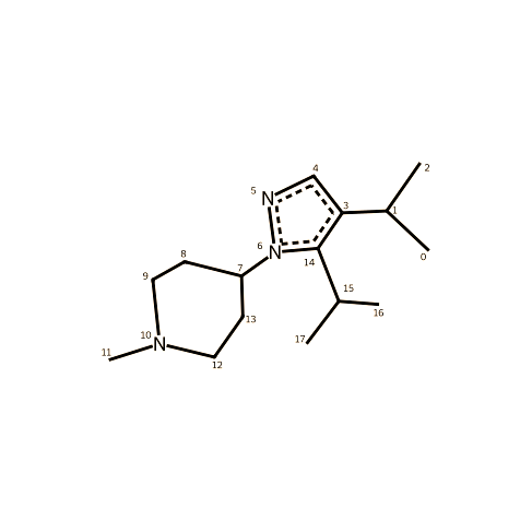 CC(C)c1cnn(C2CCN(C)CC2)c1C(C)C